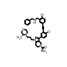 C[C@H]1COCCN1CCCn1nc(-c2ccc(Cl)c(C#Cc3ccc(Cl)c(CNCc4ccccc4)c3)c2)c2c1CCN(C(N)=O)C2